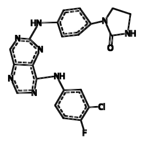 O=C1NCCN1c1ccc(Nc2ncc3ncnc(Nc4ccc(F)c(Cl)c4)c3n2)cc1